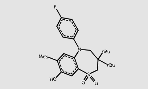 CCCCC1(CCCC)CN(c2ccc(F)cc2)c2cc(SC)c(O)cc2S(=O)(=O)C1